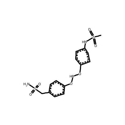 CS(=O)(=O)Nc1ccc(OBOc2ccc(CS(N)(=O)=O)cc2)cc1